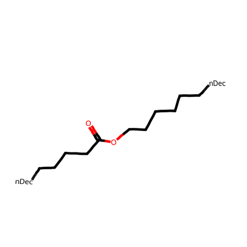 CCCCCCCCCCCCCCCCOC(=O)CCCCCCCCCCCCCC